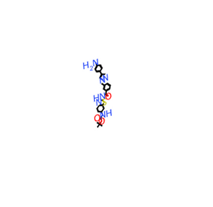 CC(C)(C)OC(=O)N[C@H]1CCc2nc(NC(=O)c3cccc(Cn4cc(-c5ccc(N)cc5)cn4)c3)sc2C1